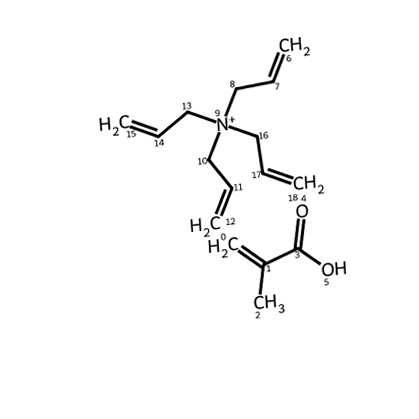 C=C(C)C(=O)O.C=CC[N+](CC=C)(CC=C)CC=C